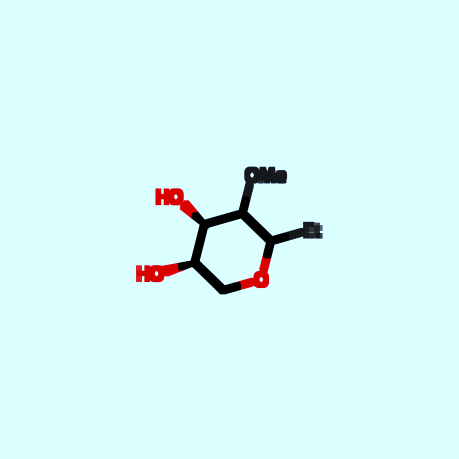 CCC1OC[C@@H](O)[C@@H](O)C1OC